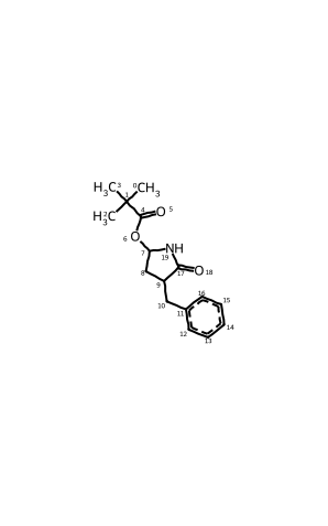 CC(C)(C)C(=O)OC1CC(Cc2ccccc2)C(=O)N1